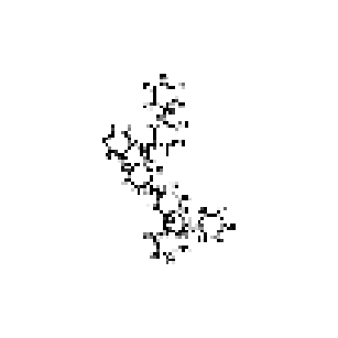 C1=CC(n2c3ccccc3c3ccc(-c4ccc5c(c4)c4c(n5-c5ccccc5)CCC=C4)cc32)CC(c2ccccc2)=C1